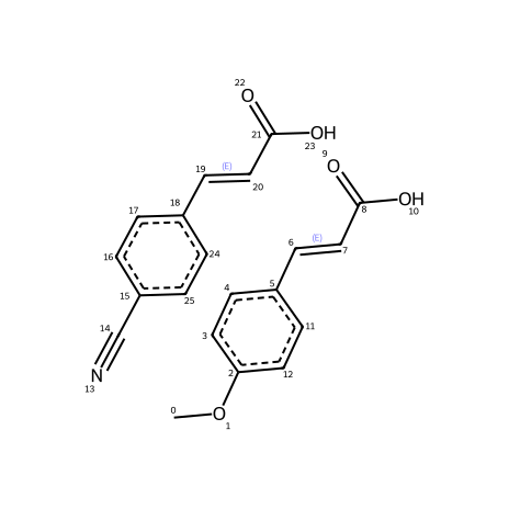 COc1ccc(/C=C/C(=O)O)cc1.N#Cc1ccc(/C=C/C(=O)O)cc1